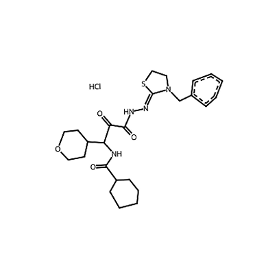 Cl.O=C(NN=C1SCCN1Cc1ccccc1)C(=O)C(NC(=O)C1CCCCC1)C1CCOCC1